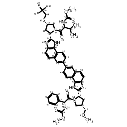 COC[C@H]1C[C@@H](c2nc3ccc4cc(-c5ccc6c(ccc7nc([C@@H]8C[C@H](SCC(F)(F)F)CN8C(=O)C(NC(=O)OC)C(C)C)[nH]c76)c5)ccc4c3[nH]2)N(C(=O)[C@H](NC(=O)OC)c2ccccc2)C1